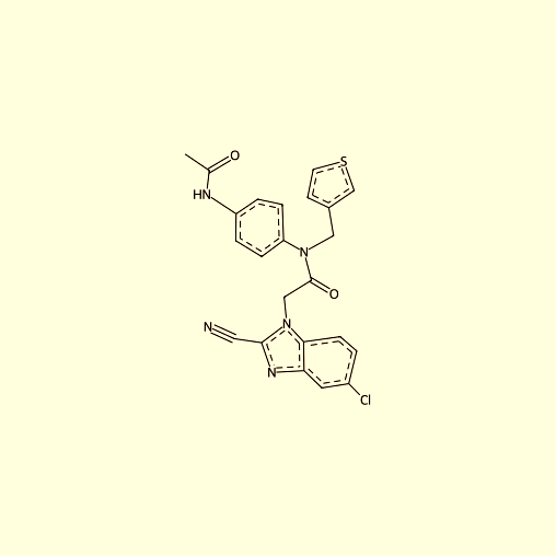 CC(=O)Nc1ccc(N(Cc2ccsc2)C(=O)Cn2c(C#N)nc3cc(Cl)ccc32)cc1